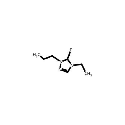 CCCN1N=CN(CC)C1F